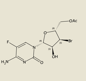 CC(=O)OC[C@H]1O[C@@H](n2cc(F)c(N)nc2=O)[C@H](O)[C@@H]1Br